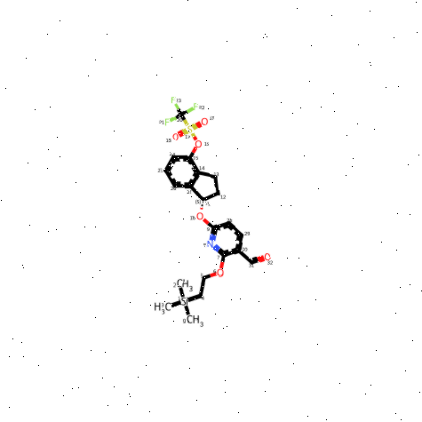 C[Si](C)(C)CCOc1nc(O[C@H]2CCc3c(OS(=O)(=O)C(F)(F)F)cccc32)ccc1C=O